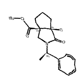 C[C@H](c1ccccc1)N1C[C@]2(C(=O)OC(C)(C)C)CCC[C@]2(Cl)C1=O